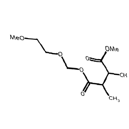 COCCOCOC(=O)C(C)C(C)C(=O)OC